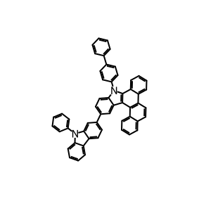 c1ccc(-c2ccc(-n3c4ccc(-c5ccc6c7ccccc7n(-c7ccccc7)c6c5)cc4c4c5c6ccccc6ccc5c5ccccc5c43)cc2)cc1